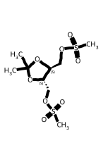 CC1(C)O[C@@H](COS(C)(=O)=O)[C@H](COS(C)(=O)=O)O1